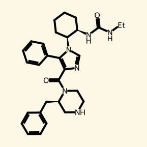 CCNC(=O)N[C@@H]1CCCC[C@@H]1n1cnc(C(=O)N2CCNC[C@H]2Cc2ccccc2)c1-c1ccccc1